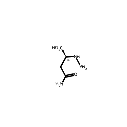 NC(=O)C[C@H](NP)C(=O)O